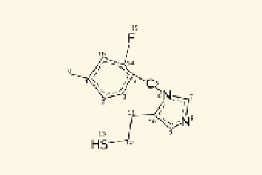 Cc1ccc(Cn2cncc2CCS)c(F)c1